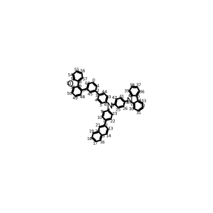 c1cc(-c2ccc(N(c3ccc(-c4ccc5ccccc5c4)cc3)c3ccc(-n4c5ccccc5c5ccccc54)cc3)cc2)cc(-c2cccc3oc4ccccc4c23)c1